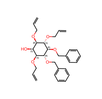 C=CCO[C@@H]1[C@@H](OCc2ccccc2)[C@H](OCc2ccccc2)[C@@H](OCC=C)[C@@H](O)[C@H]1OCC=C